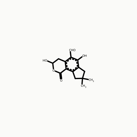 CC1(C)Cc2c(O)c(C=O)c3c(c2C1)C(=O)OC(O)C3